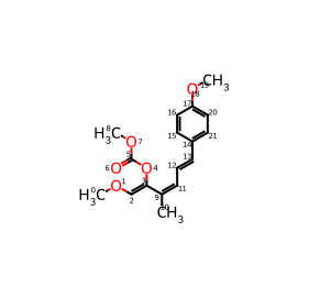 COC=C(OC(=O)OC)C(C)=CC=Cc1ccc(OC)cc1